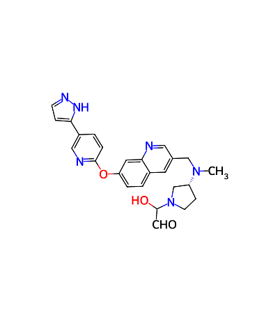 CN(Cc1cnc2cc(Oc3ccc(-c4ccn[nH]4)cn3)ccc2c1)[C@@H]1CCN(C(O)C=O)C1